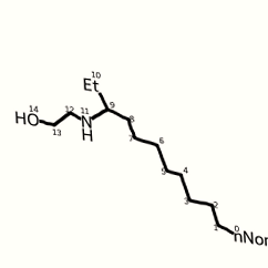 CCCCCCCCCCCCCCCCCC(CC)NCCO